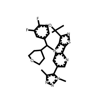 Cc1nnn(C)c1-c1cnc2c3snc(C(C)(C)O)c3n(C(c3ccc(F)c(F)c3)C3CCOCC3)c2c1